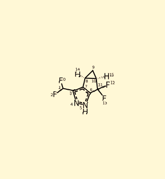 FC(F)c1n[nH]c2c1[C@H]1C[C@H]1C2(F)F